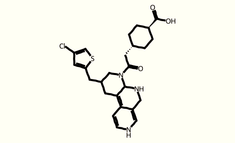 O=C(C[C@H]1CC[C@H](C(=O)O)CC1)N1CC(Cc2cc(Cl)cs2)CC2=C3C=CNC=C3CNC21